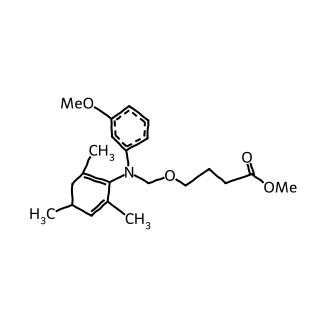 COC(=O)CCCOCN(C1=C(C)CC(C)C=C1C)c1cccc(OC)c1